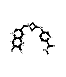 CNC(=O)c1ccc(OC2CN(Cc3cnc4cc(C)c(=O)[nH]c4c3)C2)cn1